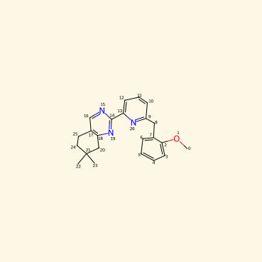 COc1ccccc1Cc1cccc(-c2ncc3c(n2)CC(C)(C)CC3)n1